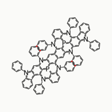 c1ccc(-n2c3ccccc3c3c2cc2c4c3n(-c3ccccc3)c3cccc5c3p4c3c(cc4c(cc6c7c4n(-c4ccccc4)c4cccc8c4p7c4c(cc7c(c9ccccc9n7-c7ccccc7)c4n8-c4ccccc4)n6-c4ccccc4)c3n5-c3ccccc3)n2-c2ccccc2)cc1